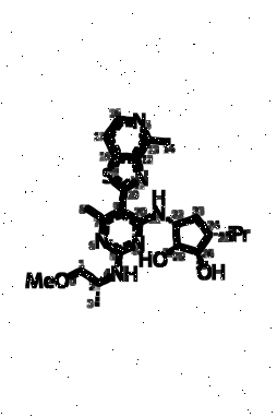 COC[C@@H](C)Nc1nc(C)c(-c2nc3c(C)nccc3s2)c(N[C@@H]2C[C@H](C(C)C)[C@@H](O)[C@H]2O)n1